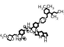 C=C(CCC)C1=C(CN2CCN(c3ccc(C(=O)NS(=O)(=O)c4ccc(NCC5CN(C)CCO5)c([N+](=O)[O-])c4)c(-n4ncc5nc6[nH]ccc6cc54)c3)CC2)CCC(C)(C)C1